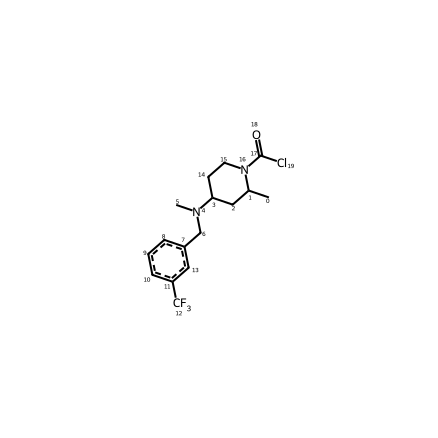 CC1CC(N(C)Cc2cccc(C(F)(F)F)c2)CCN1C(=O)Cl